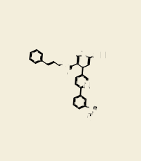 CC1=CC(c2ccc(-c3cccc([N+](=O)[O-])c3)nc2)C(C(=O)OC/C=C/c2ccccc2)=C(C)N1